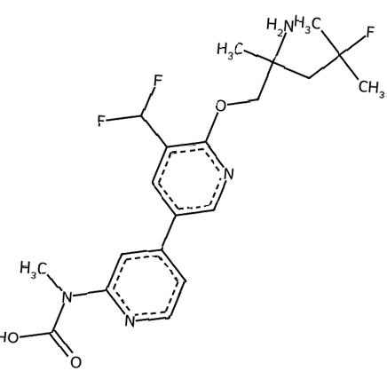 CN(C(=O)O)c1cc(-c2cnc(OCC(C)(N)CC(C)(C)F)c(C(F)F)c2)ccn1